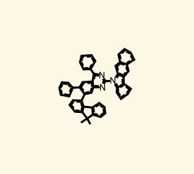 CC1(C)c2ccccc2-c2c(-c3cc4nc(-n5c6ccccc6c6cc7ccccc7cc65)nc(-c5ccccc5)c4cc3-c3ccccc3)cccc21